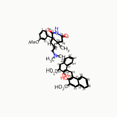 COc1cccc(C2(CCCN(C)C)C(=O)NC(=O)CC2(C)C)c1.O=C(O)c1cc2ccccc2c(Cc2c(O)c(C(=O)O)cc3ccccc23)c1O